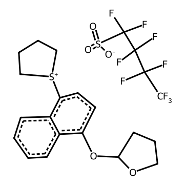 O=S(=O)([O-])C(F)(F)C(F)(F)C(F)(F)C(F)(F)F.c1ccc2c([S+]3CCCC3)ccc(OC3CCCO3)c2c1